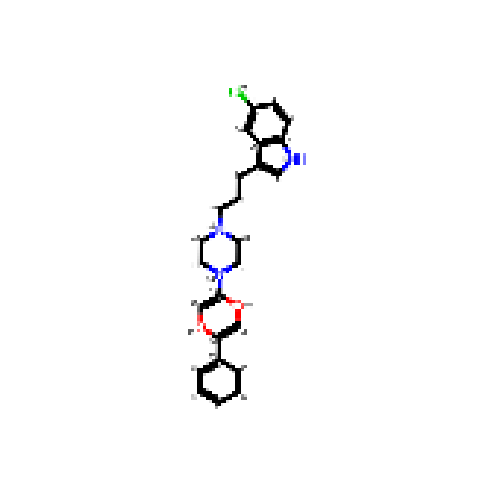 Clc1ccc2[nH]cc(CCCN3CCN(C4=COC(C5=CC=CCC5)=CO4)CC3)c2c1